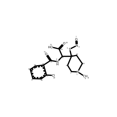 CN1CCC(SN=O)(C(NC(=O)c2ccccc2Cl)C(=O)O)CC1